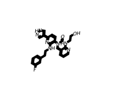 O=CN(Cc1cccnc1NCCO)c1ccc(-c2cn[nH]c2)nc1NCCc1cccc(F)c1